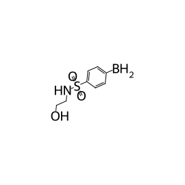 Bc1ccc(S(=O)(=O)NCCO)cc1